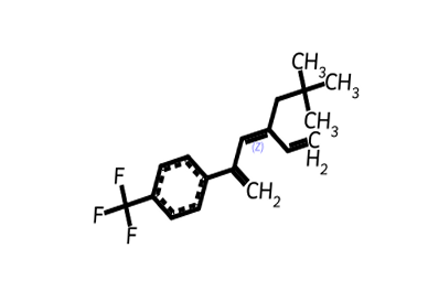 C=C/C(=C\C(=C)c1ccc(C(F)(F)F)cc1)CC(C)(C)C